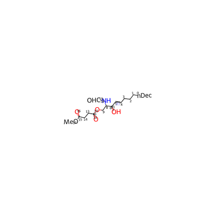 CCCCCCCCCCCCC/C=C/[C@@H](O)C(COC(=O)CCC(=O)OC)NC=O